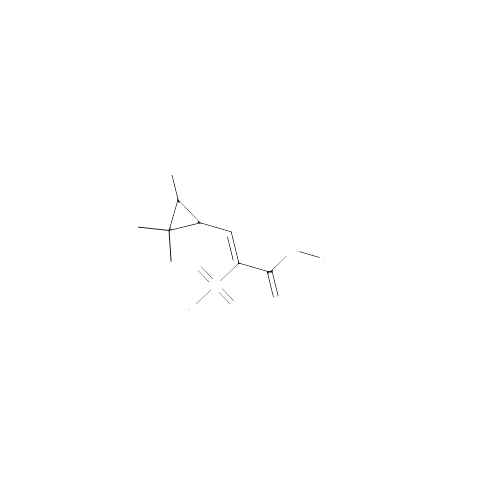 CC(C)(C)OC(=O)C(=CC1C(C(=O)O)C1(C)C)S(=O)(=O)C(C)(C)C